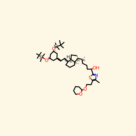 Cc1nc(C(O)CCC[C@@H](C)[C@H]2CC[C@H]3/C(=C/C=C4C[C@@H](O[Si](C)(C)C(C)(C)C)C[C@H](O[Si](C)(C)C(C)(C)C)C4)CCC[C@]23C)sc1CCOC1CCCCO1